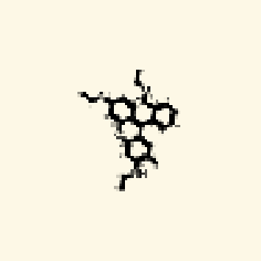 CC/N=c1/ccc2c(-c3ccccc3C(=O)OCC)c3cc(C)c(NCC)cc3oc-2c1